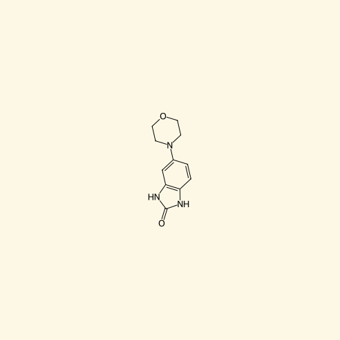 O=c1[nH]c2ccc(N3CCOCC3)cc2[nH]1